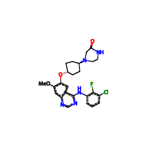 COc1cc2ncnc(Nc3cccc(Cl)c3F)c2cc1O[C@H]1CC[C@H](N2CCNC(=O)C2)CC1